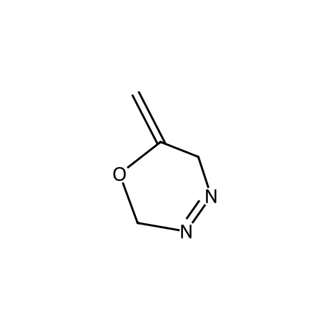 C=C1CN=NCO1